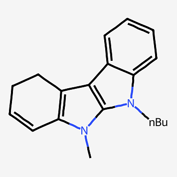 CCCCn1c2ccccc2c2c3c(n(C)c21)C=CCC3